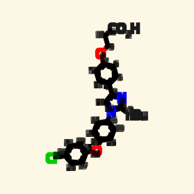 CCCCc1nc(-c2ccc(OCCC(=O)O)cc2)cn1-c1ccc(Oc2ccc(Cl)cc2)cc1